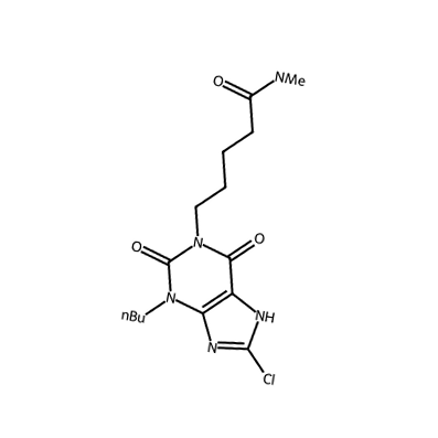 CCCCn1c(=O)n(CCCCC(=O)NC)c(=O)c2[nH]c(Cl)nc21